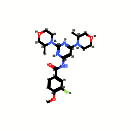 COc1ccc(C(=O)Nc2cc(N3CCOC[C@@H]3C)nc(N3CCOC[C@@H]3C)n2)cc1F